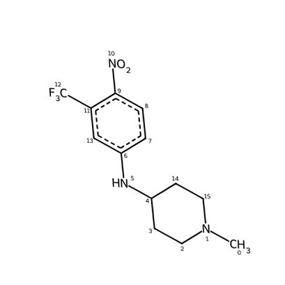 CN1CCC(Nc2ccc([N+](=O)[O-])c(C(F)(F)F)c2)CC1